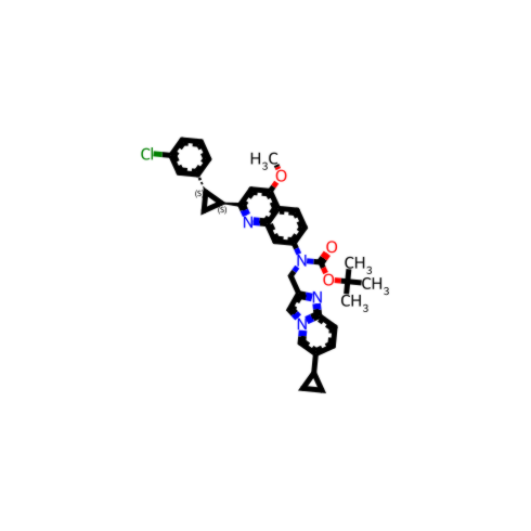 COc1cc([C@H]2C[C@@H]2c2cccc(Cl)c2)nc2cc(N(Cc3cn4cc(C5CC5)ccc4n3)C(=O)OC(C)(C)C)ccc12